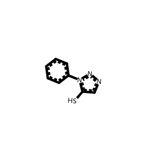 Sc1cnnn1-c1ccccc1